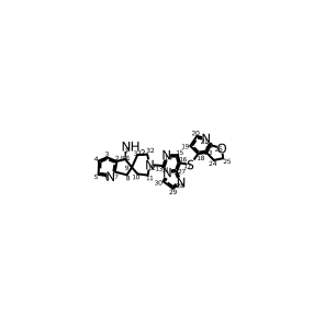 N[C@@H]1c2cccnc2CC12CCN(c1ncc(Sc3ccnc4c3CCO4)c3nccn13)CC2